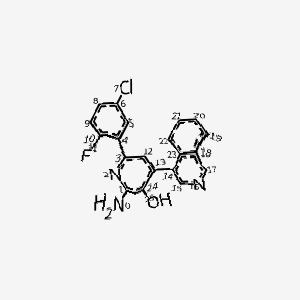 Nc1nc(-c2cc(Cl)ccc2F)cc(-c2cncc3ccccc23)c1O